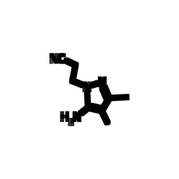 Cc1nn(CCC#N)c(N)c1C